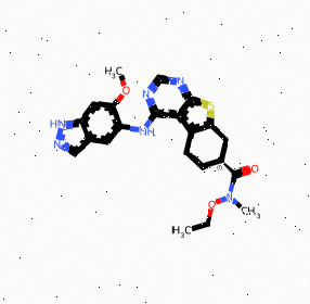 CCON(C)C(=O)[C@H]1CCc2c(sc3ncnc(Nc4cc5cn[nH]c5cc4OC)c23)C1